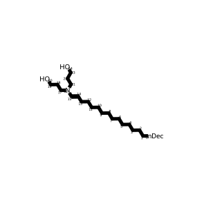 CCCCCCCCCCCCCCCCCCCCCCCC=CN(CCCO)CCCO